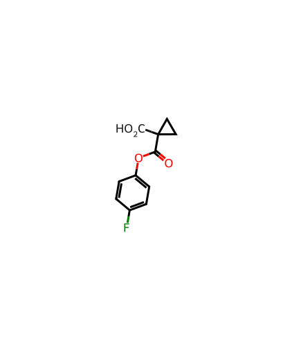 O=C(O)C1(C(=O)Oc2ccc(F)cc2)CC1